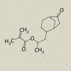 C=C(C)C(=O)OC(C)CC1CCC2CC1CC2=O